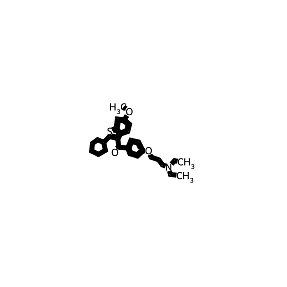 CCN(CC)CCCOc1ccc(C(=O)c2c(C3CCCCC3)sc3cc(OC)ccc23)cc1